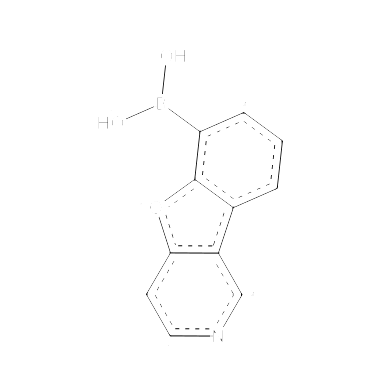 OB(O)c1cccc2c1oc1ccncc12